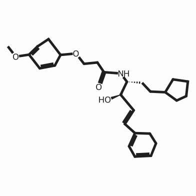 COC1=CCC(OCCC(=O)N[C@H](CCC2CCCC2)[C@H](O)/C=C/C2=CC=CCC2)C=C1